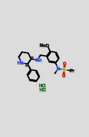 COc1ccc(N(C)S(=O)(=O)C(C)C)cc1CN[C@@H]1CCCN[C@@H]1c1ccccc1.Cl.Cl